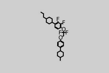 CCCC1CCC(c2ccc(OC(F)(F)COc3ccc(C4CCC(C)CC4)cc3)c(F)c2F)CC1